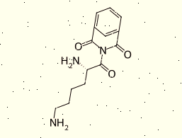 NCCCC[C@H](N)C(=O)N1C(=O)c2cccc(c2)C1=O